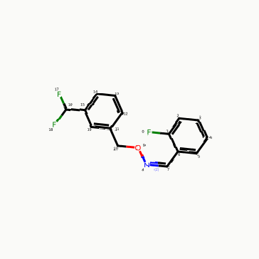 Fc1ccccc1/[C]=N\OCc1cccc(C(F)F)c1